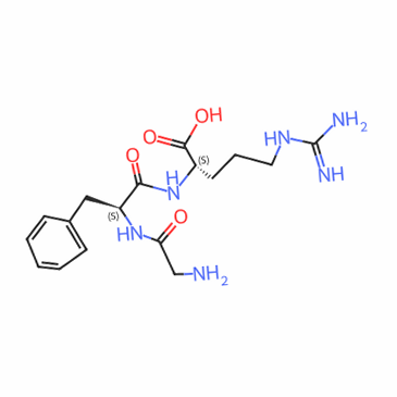 N=C(N)NCCC[C@H](NC(=O)[C@H](Cc1ccccc1)NC(=O)CN)C(=O)O